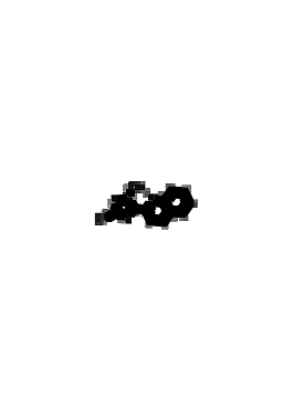 Cn1nc(Br)nc1-c1ccc2ccccc2n1